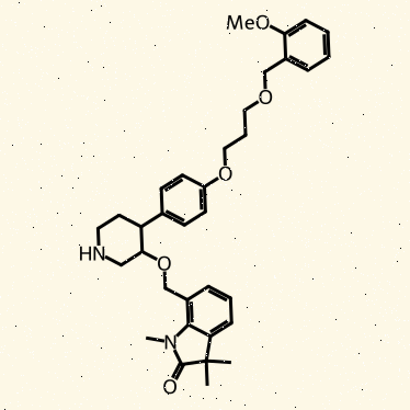 COc1ccccc1COCCCOc1ccc(C2CCNCC2OCc2cccc3c2N(C)C(=O)C3(C)C)cc1